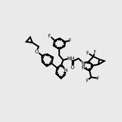 O=C(Cn1nc(C(F)F)c2c1C(F)(F)C1CC21)NC(Cc1cc(F)cc(F)c1)c1ncccc1-c1ccc(OCC2CC2)cc1